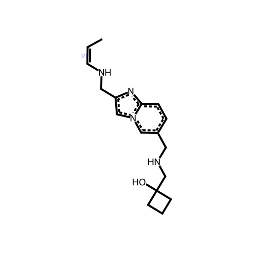 C/C=C\NCc1cn2cc(CNCC3(O)CCC3)ccc2n1